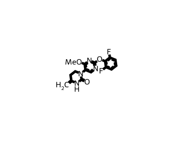 C=C1CCN(c2cnc(Oc3c(F)cccc3F)nc2OC)C(=O)N1